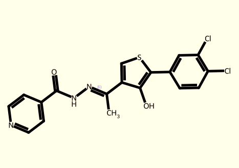 C/C(=N\NC(=O)c1ccncc1)c1csc(-c2ccc(Cl)c(Cl)c2)c1O